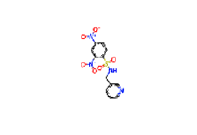 O=[N+]([O-])c1ccc(S(=O)(=O)NCc2cccnc2)c([N+](=O)[O-])c1